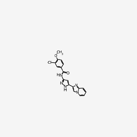 COc1ccc(C(=O)Nc2cc(-c3cn4ccccc4n3)[nH]n2)cc1Cl